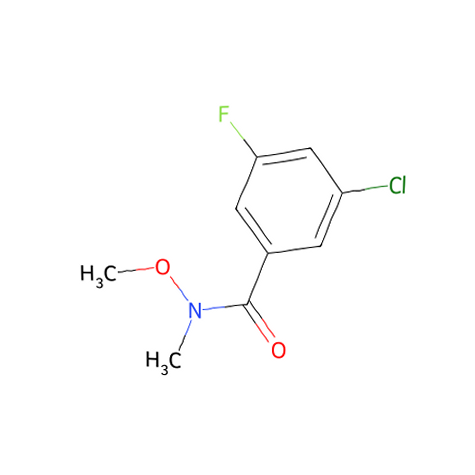 CON(C)C(=O)c1cc(F)cc(Cl)c1